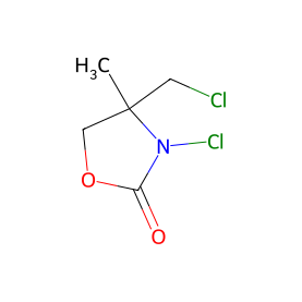 CC1(CCl)COC(=O)N1Cl